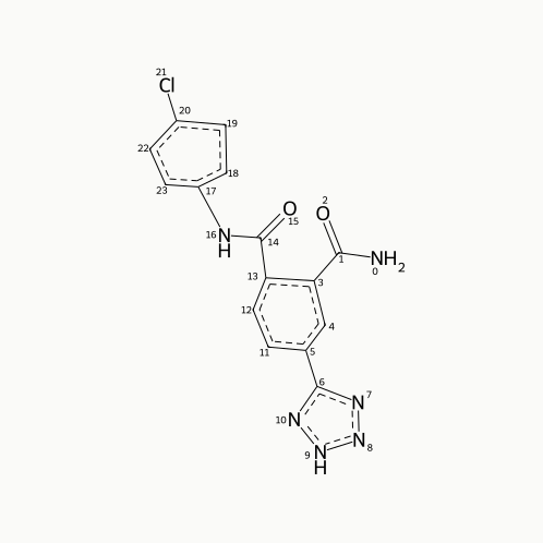 NC(=O)c1cc(-c2nn[nH]n2)ccc1C(=O)Nc1ccc(Cl)cc1